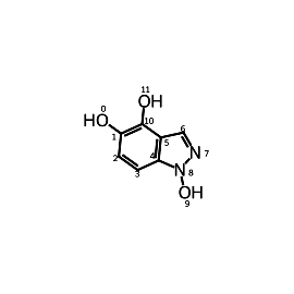 Oc1ccc2c(cnn2O)c1O